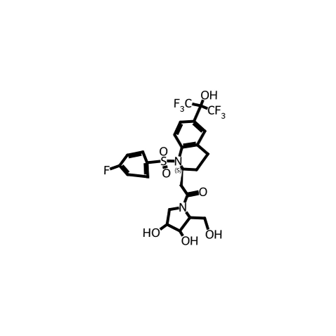 O=C(C[C@@H]1CCc2cc(C(O)(C(F)(F)F)C(F)(F)F)ccc2N1S(=O)(=O)c1ccc(F)cc1)N1CC(O)C(O)C1CO